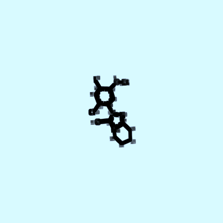 CCOc1cc(-n2nc3n(c2=O)CCCC3)c(Cl)cc1I